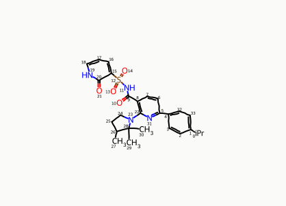 CC(C)c1ccc(-c2ccc(C(=O)NS(=O)(=O)c3ccc[nH]c3=O)c(N3CCC(C)C3(C)C)n2)cc1